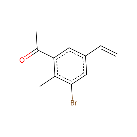 C=Cc1cc(Br)c(C)c(C(C)=O)c1